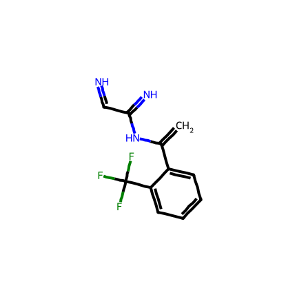 C=C(NC(=N)C=N)c1ccccc1C(F)(F)F